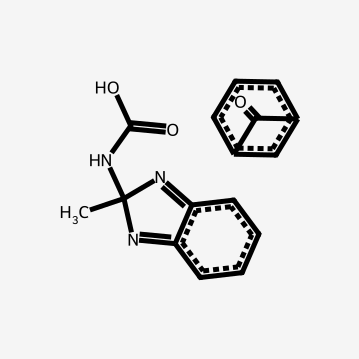 CC1(NC(=O)O)N=c2ccccc2=N1.O=C1c2cccc1c2